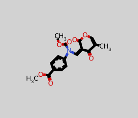 COC(=O)c1ccc(N(C=C2C(=O)OC=C(C)C2=O)C(=O)OC)cc1